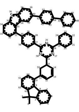 CC1(C)c2ccccc2-c2c(C3=CC=CC(c4nc(-c5ccccc5)nc(-c5ccc(-c6cccc7sc8ccc(-c9ccc(-c%10ccccc%10)cc9)cc8c67)cc5)n4)C3)cccc21